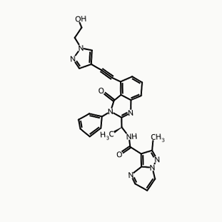 Cc1nn2cccnc2c1C(=O)N[C@@H](C)c1nc2cccc(C#Cc3cnn(CCO)c3)c2c(=O)n1-c1ccccc1